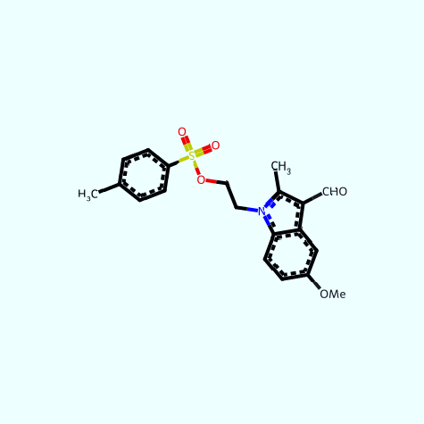 COc1ccc2c(c1)c(C=O)c(C)n2CCOS(=O)(=O)c1ccc(C)cc1